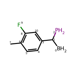 BC(P)c1ccc(C)c(F)c1